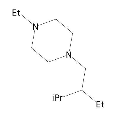 CCC(CN1CCN(CC)CC1)C(C)C